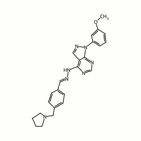 COc1cccc(-n2ncc3c(N/N=C/c4ccc(CN5CCCC5)cc4)ncnc32)c1